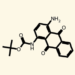 CC(C)(C)OC(=O)Nc1ccc(N)c2c1C(=O)c1ccccc1C2=O